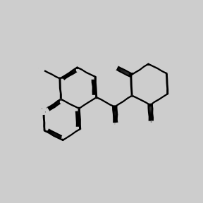 O=C1CCCC(=O)C1C(=O)c1ccc(Br)c2ncccc12